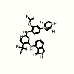 O=C1NCc2cccc(Nc3nc(Nc4ccc(N5C[C@H]6C[C@@H]5CN6)cc4OC(F)F)ncc3C(F)(F)F)c21